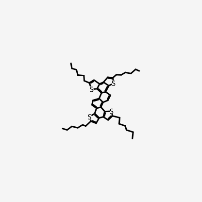 CCCCCCc1cc2c3cc(CCCCCC)sc3c3c4ccc5c6sc(CCCCCC)cc6c6cc(CCCCCC)sc6c5c4ccc3c2s1